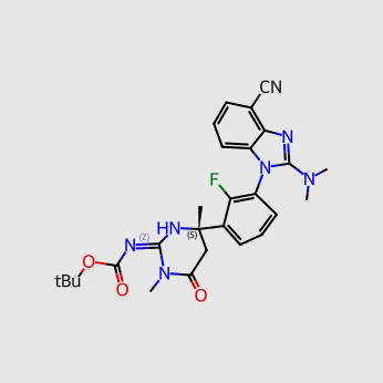 CN1C(=O)C[C@@](C)(c2cccc(-n3c(N(C)C)nc4c(C#N)cccc43)c2F)N/C1=N/C(=O)OC(C)(C)C